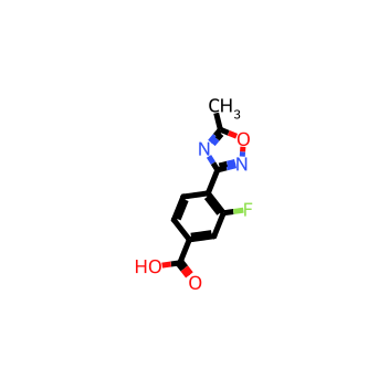 Cc1nc(-c2ccc(C(=O)O)cc2F)no1